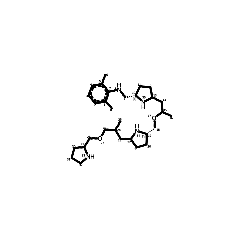 Cc1cccc(C)c1NC[C@@H]1CCC(CC(C)OC[C@@H]2CCC(CC(C)COCC3CCCN3)N2)N1